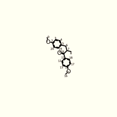 COc1ccc(CC(C)C(=O)c2ccc(OC)cc2)cc1